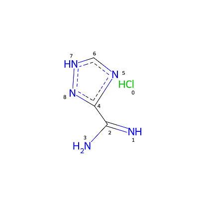 Cl.N=C(N)c1nc[nH]n1